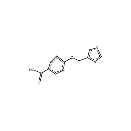 O=C(O)c1ccc(OCc2cscn2)nc1